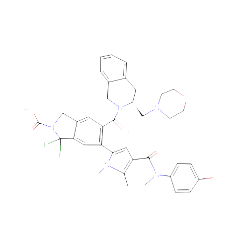 Cc1c(C(=O)N(C)c2ccc(O)cc2)cc(-c2cc3c(cc2C(=O)N2Cc4ccccc4C[C@H]2CN2CCOCC2)CN(C(=O)O)C3(F)F)n1C